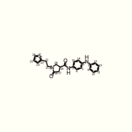 O=C(Nc1ccc(Nc2ccccc2)cc1)C1CC(=O)N(CCc2cccs2)C1